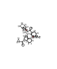 COc1cccc2c(C(=O)C3CC3)cn(CCCN3C4CCC3CC(CC(=O)c3ccccc3)C4)c12